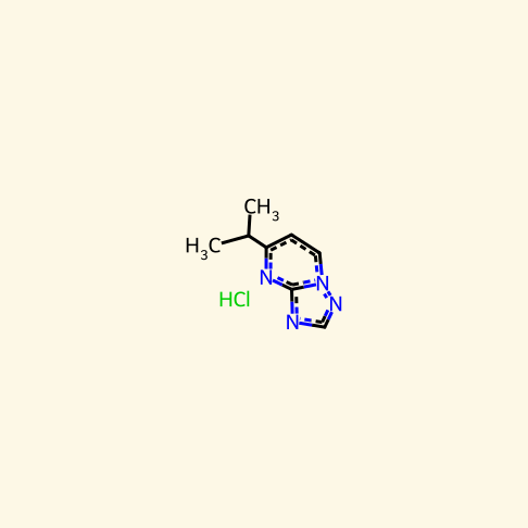 CC(C)c1ccn2ncnc2n1.Cl